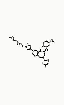 COCCOCCn1cc(-c2ccc3c(c2)N(Cc2ccc(OC)cc2)C(=O)CC(c2ncc(C)o2)=C3)cn1